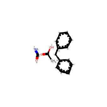 CC(=O)O.N=C=O.c1ccc(Cc2ccccc2)cc1